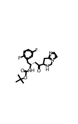 CC(C)(C)OC(=O)N[C@@H](CC(=O)C1Cc2nccn2CN1)Cc1cc(F)ccc1F